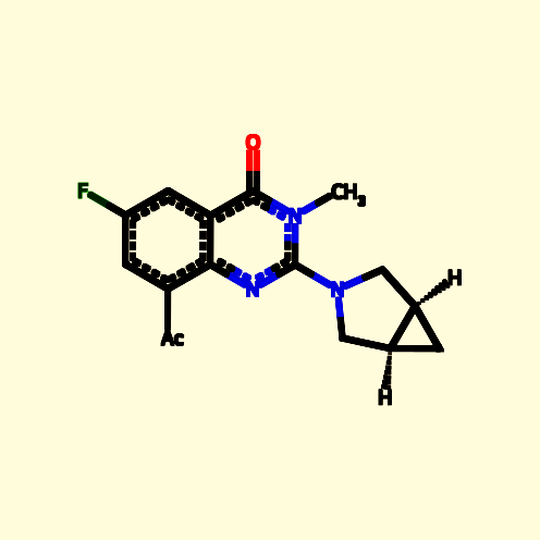 CC(=O)c1cc(F)cc2c(=O)n(C)c(N3C[C@H]4C[C@H]4C3)nc12